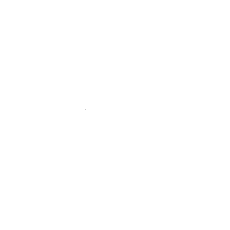 CCC(C)(Br)COP=O